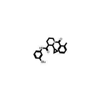 Cc1ccccc1C(=O)N1CCCC(C(=O)Nc2cccc(C(C)(C)C)c2)C1C1CC1